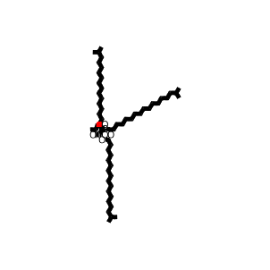 CC(C)CCCCCCCCCCCCCCC(=O)[O][Ti](=[O])([O]C(=O)CCCCCCCCCCCCCCC(C)C)([C](=O)CCCCCCCCCCCCCCC(C)C)[CH](C)C